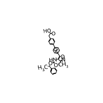 Cc1noc(C23CCC(c4ccc(CC(=O)O)cc4)(CC2)OC3)c1NC(=O)O[C@H](C)c1ccccc1